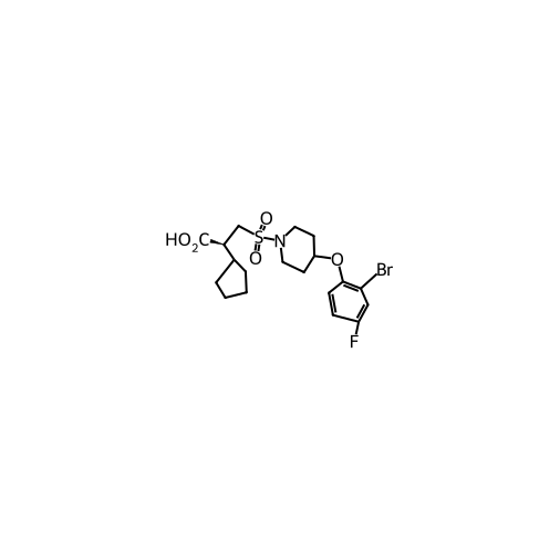 O=C(O)[C@@H](CS(=O)(=O)N1CCC(Oc2ccc(F)cc2Br)CC1)C1CCCC1